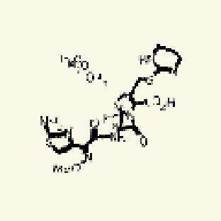 CON=C(C(=O)N[C@@H]1C(=O)N2C(C(=O)O)=C(CSC3=NCCCN3)CS[C@@H]12)c1csc(N)n1.O.O.O